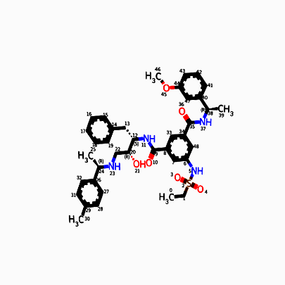 CCS(=O)(=O)Nc1cc(C(=O)N[C@@H](Cc2ccccc2)[C@H](O)CN[C@H](C)c2ccc(C)cc2)cc(C(=O)N[C@H](C)c2cccc(OC)c2)c1